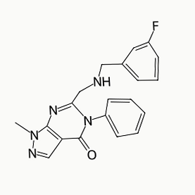 Cn1ncc2c(=O)n(-c3ccccc3)c(CNCc3cccc(F)c3)nc21